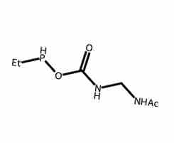 CCPOC(=O)NCNC(C)=O